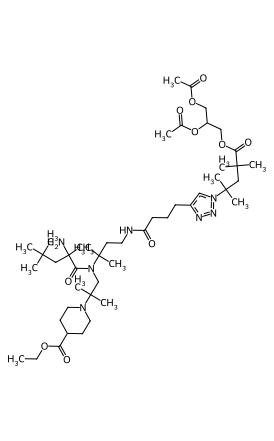 CCOC(=O)C1CCN(C(C)(C)CN(C(=O)C(C)(N)CC(C)(C)C)C(C)(C)CCNC(=O)CCCc2cn(C(C)(C)CC(C)(C)C(=O)OCC(COC(C)=O)OC(C)=O)nn2)CC1